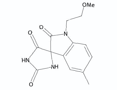 COCCN1C(=O)C2(NC(=O)NC2=O)c2cc(C)ccc21